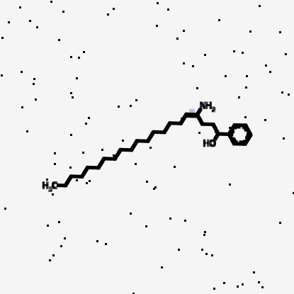 CCCCCCCCCCCCCCCC/C=C(/N)CCC(O)c1ccccc1